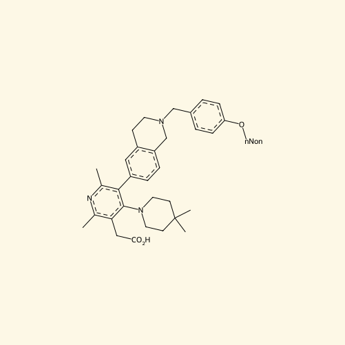 CCCCCCCCCOc1ccc(CN2CCc3cc(-c4c(C)nc(C)c(CC(=O)O)c4N4CCC(C)(C)CC4)ccc3C2)cc1